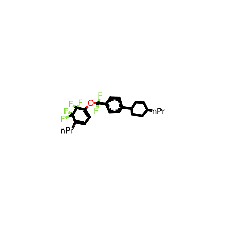 CCCC1=CC=C(OC(F)(F)c2ccc(C3CCC(CCC)CC3)cc2)C(F)(F)C1(F)F